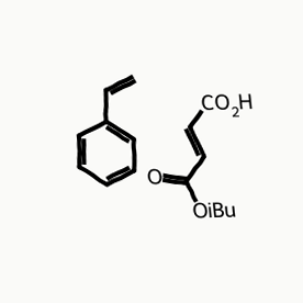 C=Cc1ccccc1.CC(C)COC(=O)C=CC(=O)O